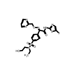 CCN(CCO)S(=O)(=O)c1ccc(/C(=N\OCc2ncccn2)C(=O)Nc2ncc(F)s2)cc1